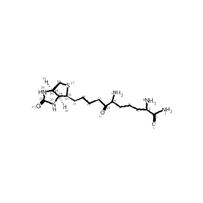 NC(=O)C(N)CCCC(N)C(=O)CCCC[C@@H]1SC[C@@H]2NC(=O)N[C@@H]21